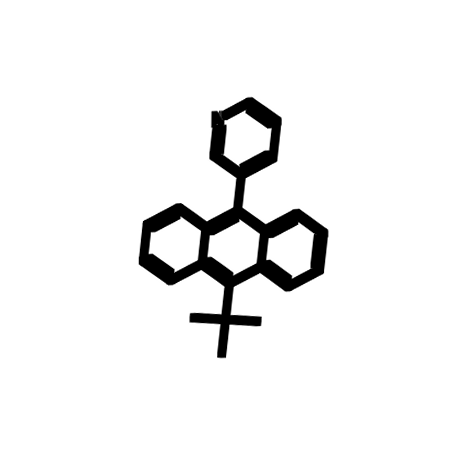 CC(C)(C)c1c2ccccc2c(-c2cccnc2)c2ccccc12